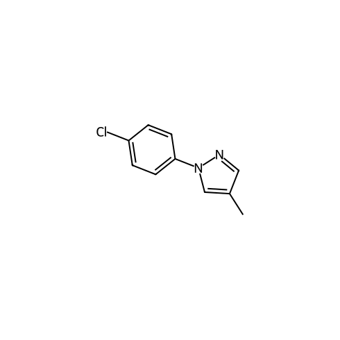 Cc1cnn(-c2ccc(Cl)cc2)c1